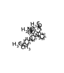 CON=Cc1c(COS(N)(=O)=O)n(C2CCN(C3CCC(C(C)C)CC3)CC2)c2ccccc12